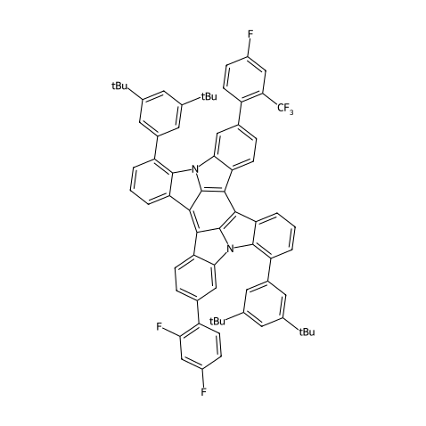 CC(C)(C)c1cc(-c2cccc3c4c5c6ccc(-c7ccc(F)cc7C(F)(F)F)cc6n6c7c(-c8cc(C(C)(C)C)cc(C(C)(C)C)c8)cccc7c(c7c8ccc(-c9ccc(F)cc9F)cc8n(c23)c74)c56)cc(C(C)(C)C)c1